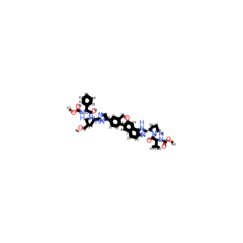 COCC1CC(c2ncc(-c3ccc4c(c3)COc3cc5c(ccc6nc([C@@H]7CC[C@H](C)N7C(=O)[C@@H](NC(=O)OC)C(C)C)[nH]c65)cc3-4)[nH]2)N(C(=O)C(NC(=O)OC)c2ccccc2)C1